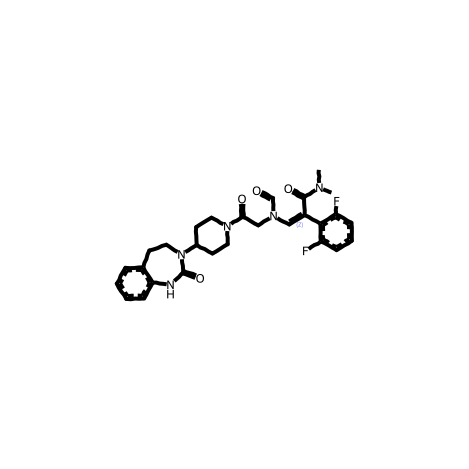 CN(C)C(=O)/C(=C\N(C=O)CC(=O)N1CCC(N2CCc3ccccc3NC2=O)CC1)c1c(F)cccc1F